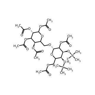 CC(=O)OCC1O[C@H](OCC2OC(OC(C)=O)[C@@H](OC(C)=O)C(OC(C)=O)[C@@H]2OC(C)=O)C(OC(C)=O)[C@@H](O[Si](C)(C)C)[C@H]1O[Si](C)(C)C